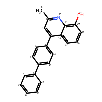 Cc1cc(-c2ccc(-c3ccccc3)cc2)c2cccc(O)c2n1